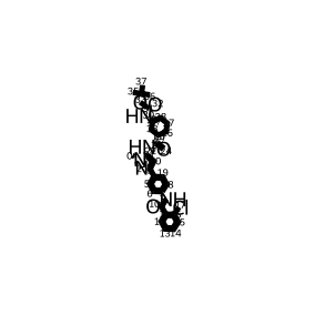 Cn1nc(-c2ccc(NC(=O)c3ccccc3Cl)cc2)cc1NC(=O)[C@H]1CCC[C@@H](NC(=O)OC(C)(C)C)C1